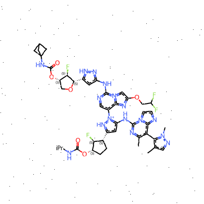 Cc1cnn(C)c1-c1c(C)nc(Nc2cc([C@@H]3CC[C@H](OC(=O)NC(C)C)[C@H]3F)[nH][n+]2-c2cnc(Nc3cc([C@@H]4OC[C@H](OC(=O)NC56CC(C5)C6)[C@H]4F)[nH]n3)n3cc(OCC(F)F)nc23)n2ccnc12